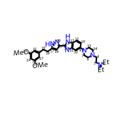 CCN(CC)CCN1CCN(c2ccc3[nH]c(-c4cc(CCc5cc(OC)cc(OC)c5)[nH]n4)nc3c2)CC1